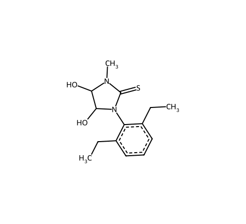 CCc1cccc(CC)c1N1C(=S)N(C)C(O)C1O